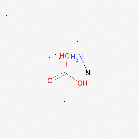 O=C(O)O.[NH2][Ni]